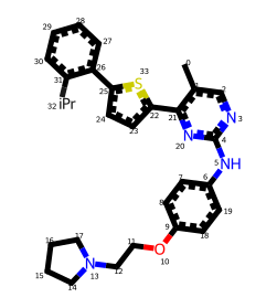 Cc1cnc(Nc2ccc(OCCN3CCCC3)cc2)nc1-c1ccc(-c2ccccc2C(C)C)s1